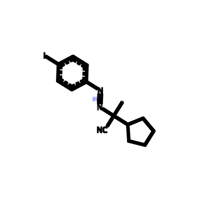 CC(C#N)(/N=N/c1ccc(I)cc1)C1CCCC1